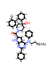 CC(=O)NCCN(c1ccccc1)c1nc(-c2ccccc2)nc2[nH]c(C(=O)N3CCC(O)(c4ccccc4-c4ccccc4Cl)CC3)cc12